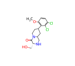 COc1ccc(Cl)c(Cl)c1C1CCN2C(=O)[C@@H](CO)NCC2C1